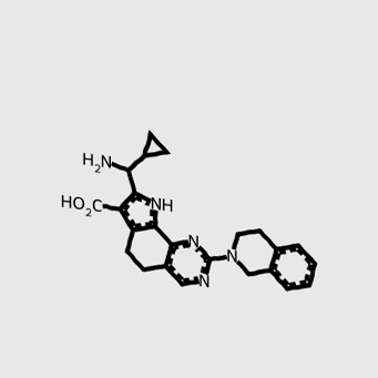 NC(c1[nH]c2c(c1C(=O)O)CCc1cnc(N3CCc4ccccc4C3)nc1-2)C1CC1